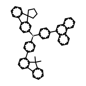 CC1(C)c2ccccc2-c2cccc(-c3ccc(N(c4ccc(-c5cc6ccccc6c6ccccc56)cc4)c4ccc5c(c4)C4(CCCC4)c4ccccc4-5)cc3)c21